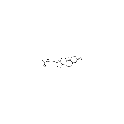 CC(=O)OCCC1CCC2C3CCC4=CC(=O)CCC4(C)C3CCC12C